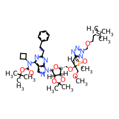 COCC(Cc1nnn(COCC[Si](C)(C)C)n1)(OC[C@H]1O[C@@H](n2ncc3c(N(C(=O)OC(C)(C)C)C4CCC4)nc(/C=C/c4ccccc4)nc32)[C@@H]2OC(C)(C)O[C@@H]21)P(C)(C)=O